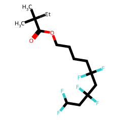 CCC(C)(C)C(=O)OCCCCC(F)(F)CC(F)(F)CC(F)F